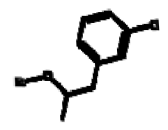 CCOC(C)Cc1cccc(Cl)c1